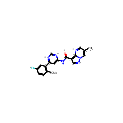 COc1ccc(F)cc1-c1cc(NC(=O)c2cnn3cc(C)cnc23)ncn1